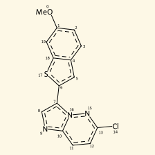 COc1ccc2cc(-c3cnc4ccc(Cl)nn34)sc2c1